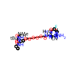 CN[C@@H](C)C(=O)N[C@H](C(=O)N1Cc2cc(OCCOCCOCCOCCOCCC(=O)NCCn3nc(C#N)c4c3CN(C)C(=O)c3ccc(F)cc3[C@H]3CCCN3c3nc-4cnc3N)ccc2C[C@H]1C(=O)N[C@@H]1CCCc2ccccc21)C(C)(C)C